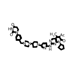 CC(=O)c1c(C)c2cnc(Nc3ccc(N4CCC(N5CCN(Cc6ccc(N7CCC(=O)NC7=O)cc6)CC5)CC4)cn3)nc2n(C2CCCC2)c1=O